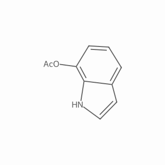 CC(=O)Oc1cccc2cc[nH]c12